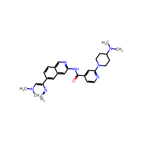 C=N/C(=C\N(C)C)c1ccc2cnc(NC(=O)c3ccnc(N4CCC(N(C)C)CC4)c3)cc2c1